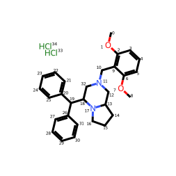 COc1cccc(OC)c1CN1CC2CCCN2C(C(c2ccccc2)c2ccccc2)C1.Cl.Cl